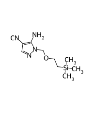 [C-]#[N+]c1cnn(COCC[Si](C)(C)C)c1N